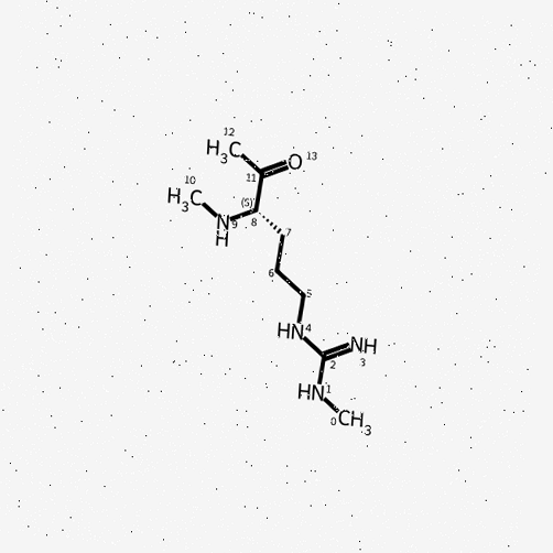 CNC(=N)NCCC[C@H](NC)C(C)=O